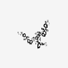 Nc1ccc(C(=O)Nc2ccc3cccc(OS(=O)(=O)c4cc5c(c(NC(=O)c6cccc(N)c6)c4)C(O)=CC(S(=O)O)(S(=O)(=O)Oc4cccc6ccc(NC(=O)c7ccc(N)cc7)cc46)C5)c3c2)cc1